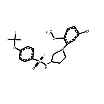 COc1ccc(Cl)cc1N1CC[C@@H](NS(=O)(=O)c2ccc(OC(F)(F)F)cc2)C1